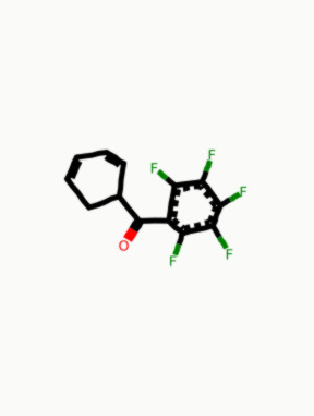 O=C(c1c(F)c(F)c(F)c(F)c1F)C1C=CC=CC1